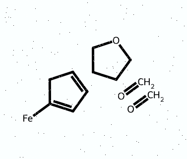 C1CCOC1.C=O.C=O.[Fe][C]1=CC=CC1